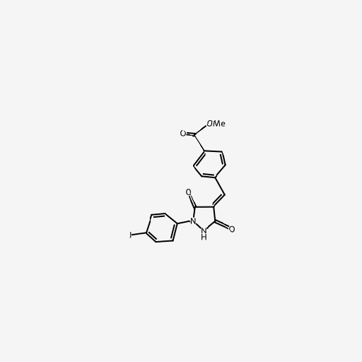 COC(=O)c1ccc(C=C2C(=O)NN(c3ccc(I)cc3)C2=O)cc1